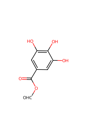 O=COC(=O)c1cc(O)c(O)c(O)c1